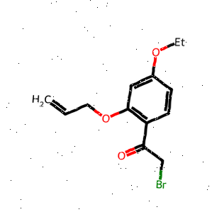 C=CCOc1cc(OCC)ccc1C(=O)CBr